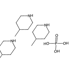 CC1CCNCC1.CC1CCNCC1.CC1CCNCC1.O=P(O)(O)O